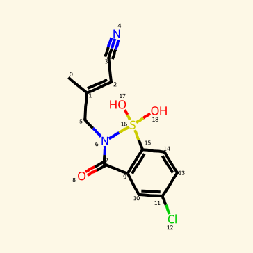 CC(=CC#N)CN1C(=O)c2cc(Cl)ccc2S1(O)O